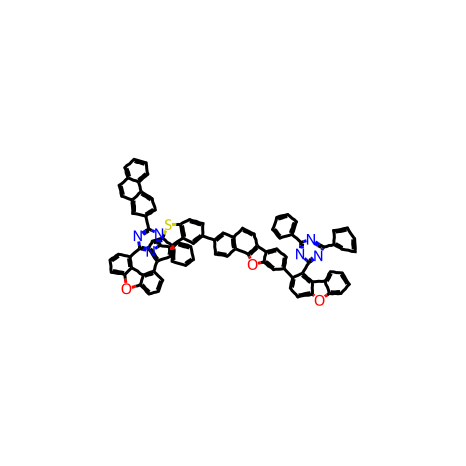 c1ccc(-c2nc(-c3ccccc3)nc(-c3c(-c4ccc5c(c4)oc4c6ccc(-c7ccc8sc9ccc(-c%10cccc%11oc%12cccc(-c%13nc(-c%14ccccc%14)nc(-c%14ccc%15c(ccc%16ccccc%16%15)c%14)n%13)c%12c%10%11)cc9c8c7)cc6ccc54)ccc4oc5ccccc5c34)n2)cc1